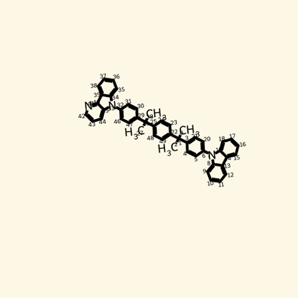 CC(C)(c1ccc(-n2c3ccccc3c3ccccc32)cc1)c1ccc(C(C)(C)c2ccc(-n3c4ccccc4c4ncccc43)cc2)cc1